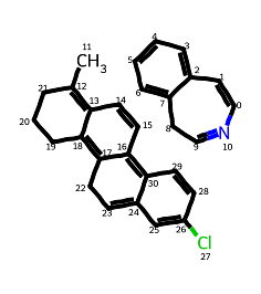 C1=Cc2ccccc2CC=N1.CC1=c2ccc3c(c2CCC1)CC=c1cc(Cl)ccc1=3